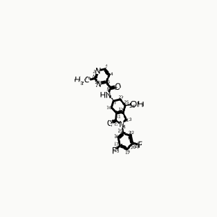 Cc1nccc(C(=O)N[C@H]2CC3=C(CN(c4cc(F)cc(F)c4)C3=O)[C@H](O)C2)n1